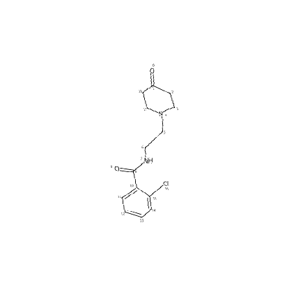 O=C1CCN(CCNC(=O)c2ccccc2Cl)CC1